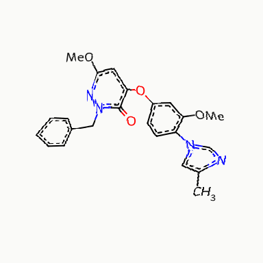 COc1cc(Oc2ccc(-n3cnc(C)c3)c(OC)c2)c(=O)n(Cc2ccccc2)n1